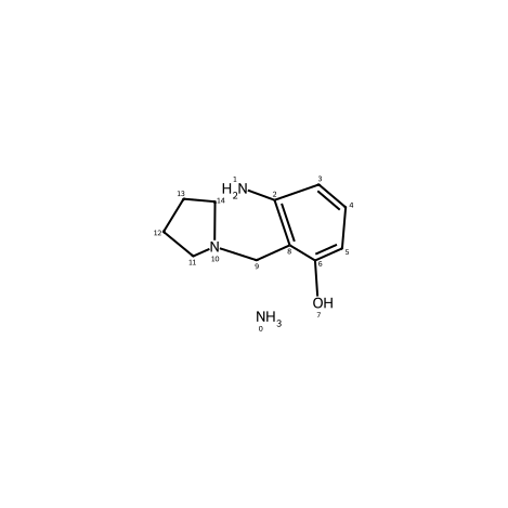 N.Nc1cccc(O)c1CN1CCCC1